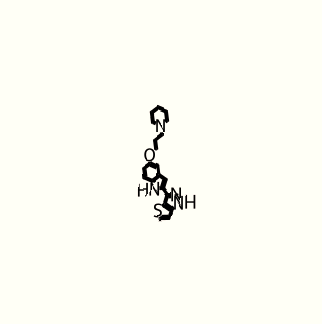 c1cc2[nH]nc(-c3cc4cc(OCCCN5CCCCC5)ccc4[nH]3)c2s1